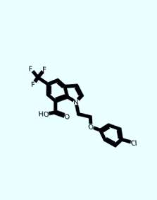 O=C(O)c1cc(C(F)(F)F)cc2ccn(CCOc3ccc(Cl)cc3)c12